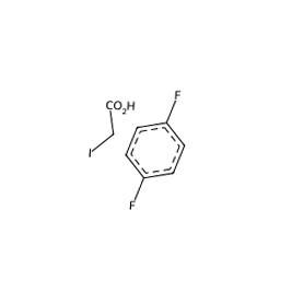 Fc1ccc(F)cc1.O=C(O)CI